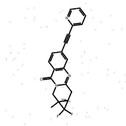 CC12Cn3c(nc4cc(C#Cc5ccccn5)ccc4c3=O)C[C@@H]1C2(F)F